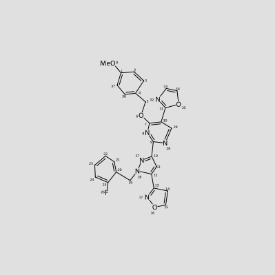 COc1ccc(COc2nc(-c3cc(-c4ccon4)n(Cc4ccccc4F)n3)ncc2-c2ncco2)cc1